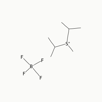 CC(C)[S+](C)C(C)C.F[B-](F)(F)F